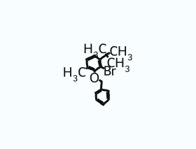 Cc1ccc(C(C)(C)C)c(Br)c1OCc1ccccc1